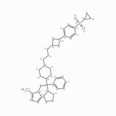 Cc1nccn1CC(c1ccccc1)(C1CCCC1)C1CCC(CCCC2CN(c3ccc(S(=O)(=O)C4CC4)cc3)C2)CC1